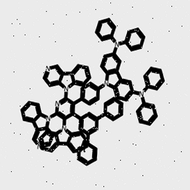 c1ccc(-c2cc(-c3ccccc3)cc(-c3c(-c4ccc(-n5c6ccc(N(c7ccccc7)c7ccccc7)cc6c6cc(N(c7ccccc7)c7ccccc7)ccc65)cc4)c(-n4c5ccccc5c5cnccc54)nc(-n4c5ccccc5c5cnccc54)c3-n3c4ccccc4c4cnccc43)c2)cc1